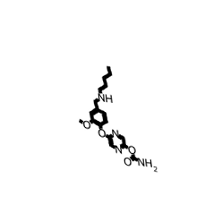 CCCCCNCc1ccc(Oc2cnc(OC(N)=O)cn2)c(OC)c1